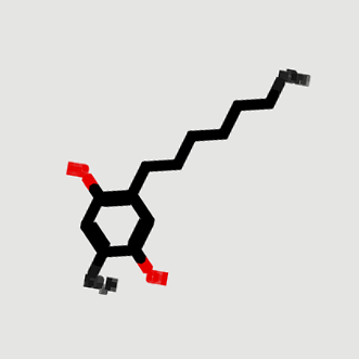 CCCCCCCCCCCCCCCCc1cc(O)c(S(=O)(=O)O)cc1O